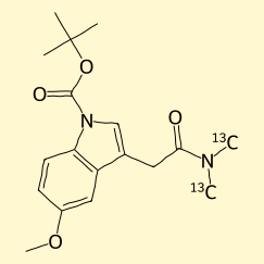 COc1ccc2c(c1)c(CC(=O)N([13CH3])[13CH3])cn2C(=O)OC(C)(C)C